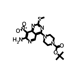 CSc1nc(N2CCN(C(=O)OC(C)(C)C)CC2)c2cnc(N)c([N+](=O)[O-])c2n1